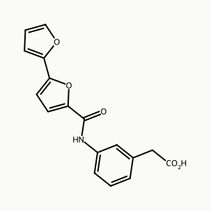 O=C(O)Cc1cccc(NC(=O)c2ccc(-c3ccco3)o2)c1